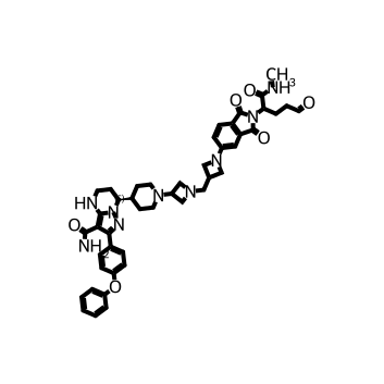 CNC(=O)C(CCC=O)N1C(=O)c2ccc(N3CC(CN4CC(N5CCC([C@@H]6CCNc7c(C(N)=O)c(-c8ccc(Oc9ccccc9)cc8)nn76)CC5)C4)C3)cc2C1=O